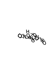 CC1(C)CN(C[C@H](O)CN2CCc3ccccc3C2)C(=O)c2ccc(CN3CCOCC3)nc2O1